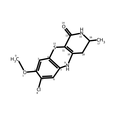 COc1cc2c(cc1Cl)NC1=C(S2)C(=O)NC(C)C1